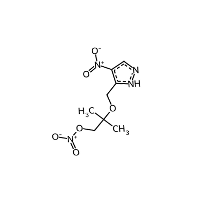 CC(C)(CO[N+](=O)[O-])OCc1[nH]ncc1[N+](=O)[O-]